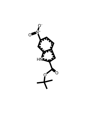 CC(C)(C)OC(=O)c1cc2ccc([N+](=O)[O-])cc2[nH]1